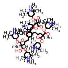 CCCCC(CCCc1ccc(CCCC(CCCC)(C(=O)OC2CC(C)(C)NC(C)(C)C2)C(O)OC2CC(C)(C)NC(C)(C)C2)cc1CCCC(CCCC)(C(=O)OC1CC(C)(C)NC(C)(C)C1)C(=O)OC1CC(C)(C)NC(C)(C)C1)(C(=O)OC1CC(C)(C)NC(C)(C)C1)C(=O)OC1CC(C)(C)NC(C)(C)C1